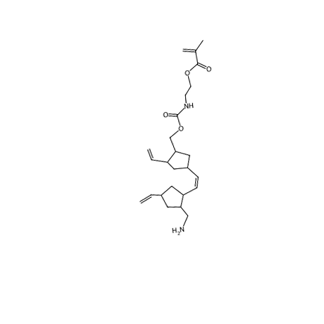 C=CC1CC(/C=C\C2CC(C=C)C(COC(=O)NCCOC(=O)C(=C)C)C2)C(CN)C1